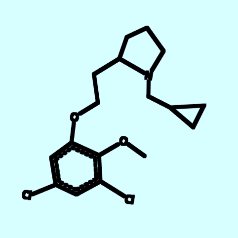 COc1c(Cl)cc(Cl)cc1OCCC1CCCN1CC1CC1